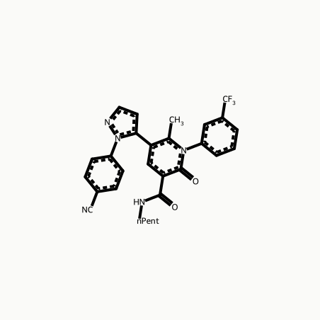 CCCCCNC(=O)c1cc(-c2ccnn2-c2ccc(C#N)cc2)c(C)n(-c2cccc(C(F)(F)F)c2)c1=O